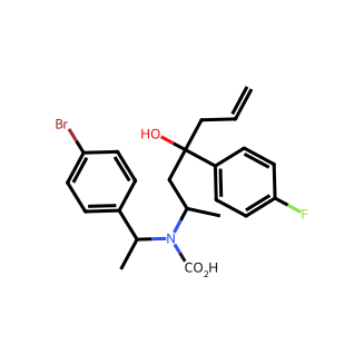 C=CCC(O)(CC(C)N(C(=O)O)C(C)c1ccc(Br)cc1)c1ccc(F)cc1